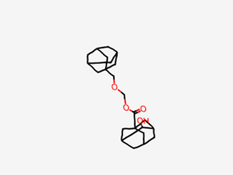 O=C(OCOCC12CC3CC(CC(C3)C1)C2)C12CC3CC(C1)C(O)C(C3)C2